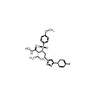 COc1ccc(S(=O)(=O)N(CCn2cc(C3C=CC(F)=CC3)nn2)[C@@H](C(=O)NO)C(C)C)cc1